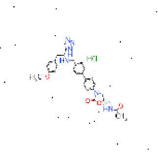 COc1ccc(CC(NCc2ccc(-c3ccc(N4C[C@H](CNC(C)=O)OC4=O)cc3F)cc2)c2cnn[nH]2)cc1.Cl